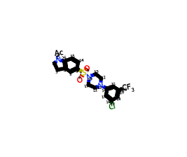 CC(=O)N1CCc2cc(S(=O)(=O)N3CCN(c4cc(Cl)cc(C(F)(F)F)c4)CC3)ccc21